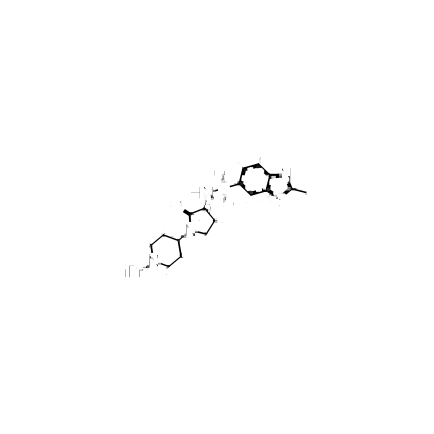 Cc1nc2ccc(S(=O)(=O)N[C@H]3CCN(C4CCN(C(C)C)CC4)C3=O)cc2s1